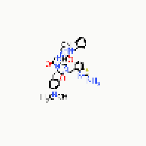 CN(C)c1ccc(C[C@H]2C(=O)N(Cc3cccc4sc(N)nc34)C[C@H]3N2C(=O)CN3N(CC#N)C(=O)NCc2ccccc2)cc1